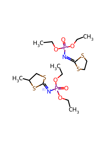 CCOP(=O)(/N=C1\SCC(C)S1)OCC.CCOP(=O)(N=C1SCCS1)OCC